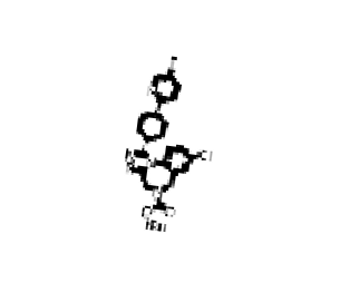 CC(C)(C)OC(=O)N1Cc2cc(Cl)ccc2-n2c(nnc2[C@H]2CC[C@H](c3ccc(F)cn3)CC2)C1